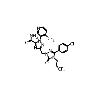 NC(=O)c1nc(Cn2nc(-c3ccc(Cl)cc3)n(CCC(F)(F)F)c2=O)nn1-c1cnccc1C(F)(F)F